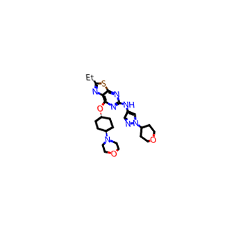 CCc1nc2c(O[C@H]3CC[C@H](N4CCOCC4)CC3)nc(Nc3cnn(C4CCOCC4)c3)nc2s1